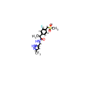 CC(C(=O)NCc1cc(C(F)(F)F)n[nH]1)c1ccc(CS(C)(=O)=O)c(F)c1